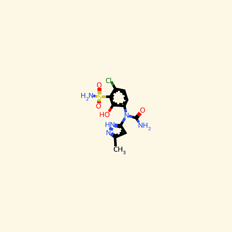 Cc1cc(N(C(N)=O)c2ccc(Cl)c(S(N)(=O)=O)c2O)[nH]n1